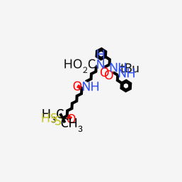 CC(C)(C)NC(Cc1ccccc1)C(=O)NC(Cc1ccccc1)C(=O)NC(CCCCNC(=O)CCCCCCC(=O)C(C)(C)SS)C(=O)O